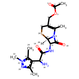 CC(=O)OCC1=C(C)N2C(=O)[C@@H](NC(=O)C(N)c3c(C)nn(C)c3C)[C@H]2SC1